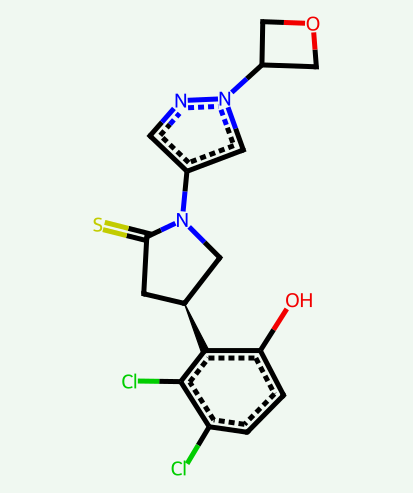 Oc1ccc(Cl)c(Cl)c1[C@H]1CC(=S)N(c2cnn(C3COC3)c2)C1